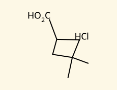 CC1(C)CC(C(=O)O)C1.Cl